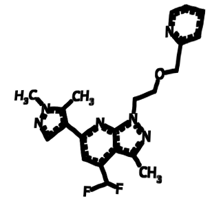 Cc1nn(CCOCc2ccccn2)c2nc(-c3cnn(C)c3C)cc(C(F)F)c12